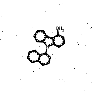 Bc1cccc2c1c1ccccc1n2-c1cccc2ccccc12